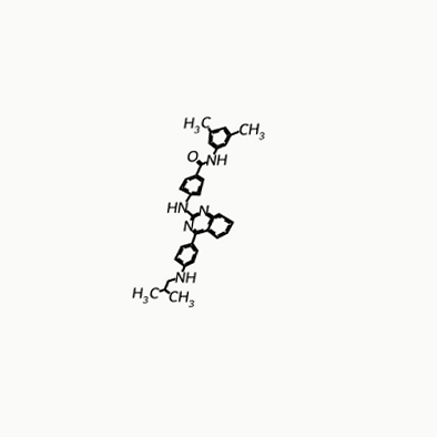 Cc1cc(C)cc(NC(=O)c2ccc(Nc3nc(-c4ccc(NCC(C)C)cc4)c4ccccc4n3)cc2)c1